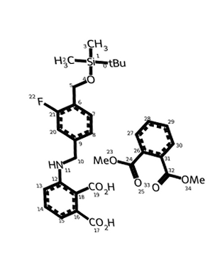 CC(C)(C)[Si](C)(C)OCc1ccc(CNc2cccc(C(=O)O)c2C(=O)O)cc1F.COC(=O)c1ccccc1C(=O)OC